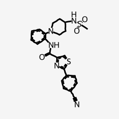 CS(=O)(=O)NC1CCN(c2ccccc2NC(=O)c2csc(-c3ccc(C#N)cc3)n2)CC1